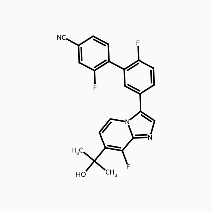 CC(C)(O)c1ccn2c(-c3ccc(F)c(-c4ccc(C#N)cc4F)c3)cnc2c1F